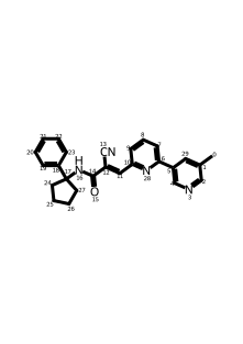 Cc1cncc(-c2cccc(/C=C(\C#N)C(=O)NC3(c4ccccc4)CCCC3)n2)c1